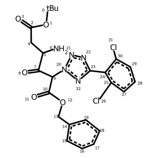 CC(C)(C)OC(=O)CC(N)C(=O)C(C(=O)OCc1ccccc1)n1nnc(-c2c(Cl)cccc2Cl)n1